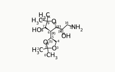 CC1(C)OC[C@H]([C@H]2C(O)C(C)(C)O[C@@H]2[C@@H](O)CN)O1